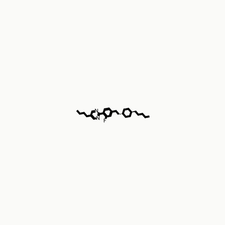 CCCCC[C@H]1CC[C@H](CCc2ccc(-c3ncc(CCCC)cn3)c(F)c2)CC1